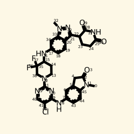 CN1C(=O)Cc2cc(Nc3nc(N4CCC(Nc5ccc6c(C7CCC(=O)NC7=O)nn(C)c6c5)C(F)(F)C4)ncc3Cl)ccc21